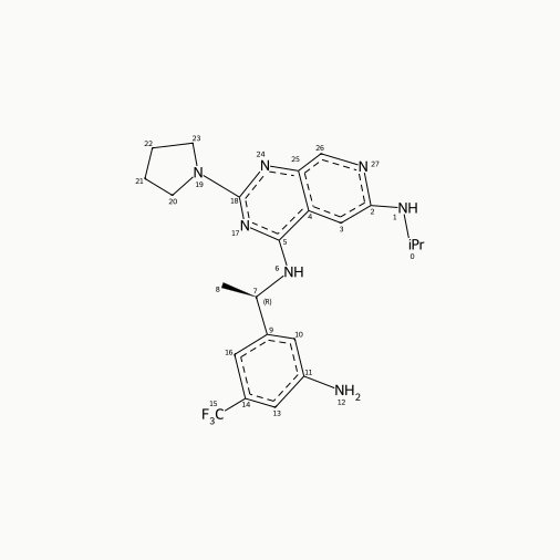 CC(C)Nc1cc2c(N[C@H](C)c3cc(N)cc(C(F)(F)F)c3)nc(N3CCCC3)nc2cn1